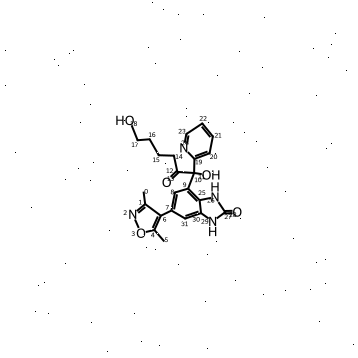 Cc1noc(C)c1-c1cc(C(O)(C(=O)CCCCO)c2ccccn2)c2[nH]c(=O)[nH]c2c1